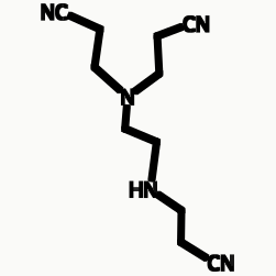 N#CCCNCCN(CCC#N)CCC#N